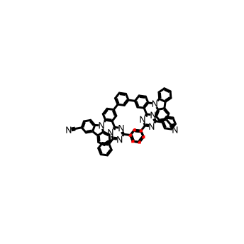 N#Cc1ccc2c(c1)c1ccccc1n2-c1ccc(-c2cccc(-c3ccc(-n4c5ccccc5c5cc(C#N)ccc54)c(-c4nc(-c5ccccc5)nc(-c5ccccc5)n4)c3)c2)cc1-c1nc(-c2ccccc2)nc(-c2ccccc2)n1